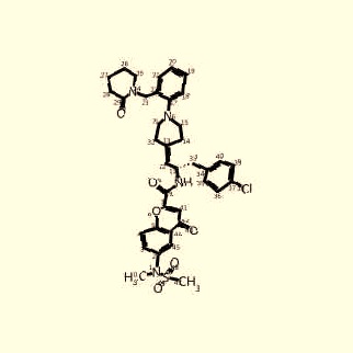 CN(c1ccc2oc(C(=O)N[C@H](C=C3CCN(c4ccccc4CN4CCCCC4=O)CC3)Cc3ccc(Cl)cc3)cc(=O)c2c1)S(C)(=O)=O